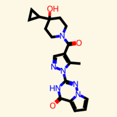 Cc1c(C(=O)N2CCC(O)(C3CC3)CC2)cnn1-c1nn2cccc2c(=O)[nH]1